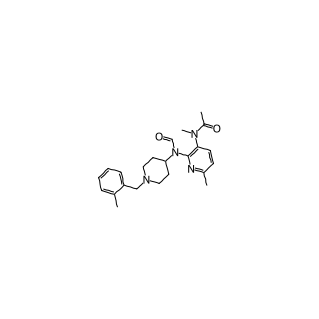 CC(=O)N(C)c1ccc(C)nc1N(C=O)C1CCN(Cc2ccccc2C)CC1